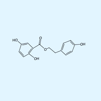 O=C(OCCc1ccc(O)cc1)c1cc(O)ccc1O